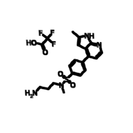 Cc1cc2c(-c3ccc(S(=O)(=O)N(C)CCCN)cc3)ccnc2[nH]1.O=C(O)C(F)(F)F